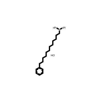 CCCN(CCC)CCCCCCCCCCCCc1ccccc1.Cl